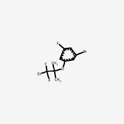 CCC(F)(F)C(C)(C)Oc1cc(F)cc(Br)c1